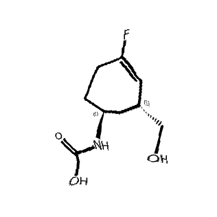 O=C(O)N[C@H]1CCC(F)=C[C@@H]1CO